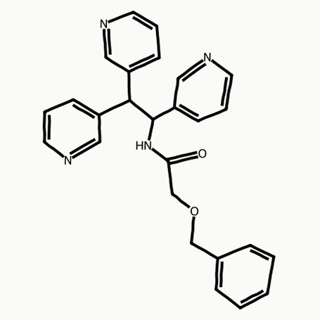 O=C(COCc1ccccc1)NC(c1cccnc1)C(c1cccnc1)c1cccnc1